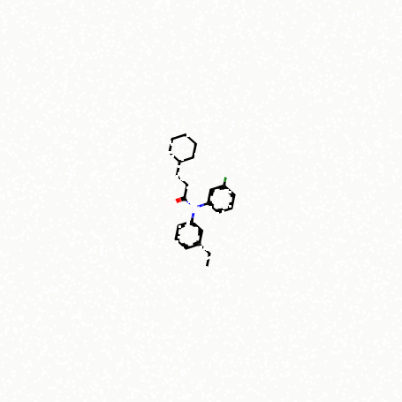 CCc1cccc(N(C(=O)CCC2CCCCC2)c2cccc(F)c2)c1